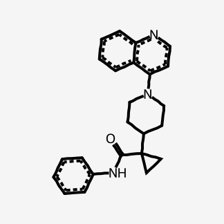 O=C(Nc1ccccc1)C1(C2CCN(c3ccnc4ccccc34)CC2)CC1